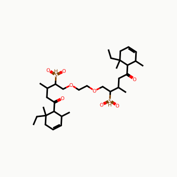 CCC1(C)CC=CC(C)C1C(=O)CC(C)C(COCCOCC(C(C)CC(=O)C1C(C)C=CCC1(C)CC)[SH](=O)=O)[SH](=O)=O